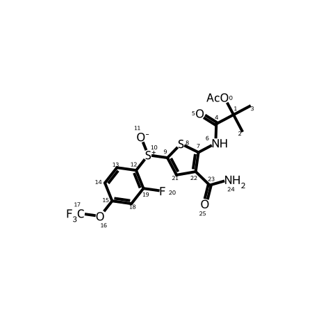 CC(=O)OC(C)(C)C(=O)Nc1sc([S+]([O-])c2ccc(OC(F)(F)F)cc2F)cc1C(N)=O